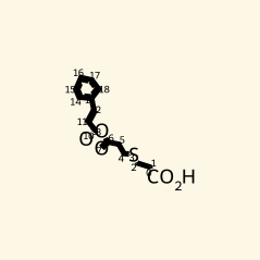 O=C(O)CCSCCC(=O)OC(=O)C=Cc1ccccc1